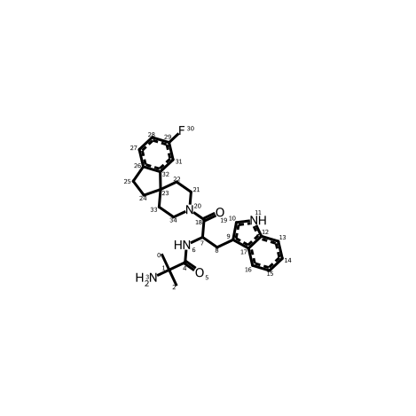 CC(C)(N)C(=O)NC(Cc1c[nH]c2ccccc12)C(=O)N1CCC2(CCc3ccc(F)cc32)CC1